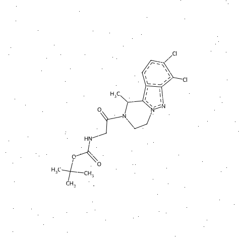 CC1c2c3ccc(Cl)c(Cl)c3nn2CCN1C(=O)CNC(=O)OC(C)(C)C